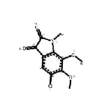 COc1c(Cl)cc2c(c1OC)N(C)C(=O)C2=O